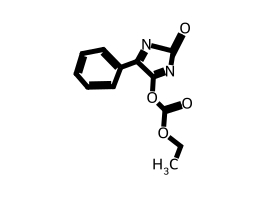 CCOC(=O)OC1=NC(=O)N=C1c1ccccc1